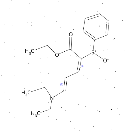 CCOC(=O)/C(=C\C=C\N(CC)CC)[S+]([O-])c1ccccc1